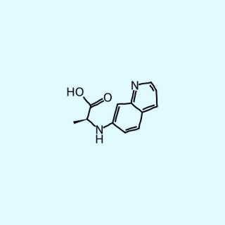 C[C@H](Nc1ccc2cccnc2c1)C(=O)O